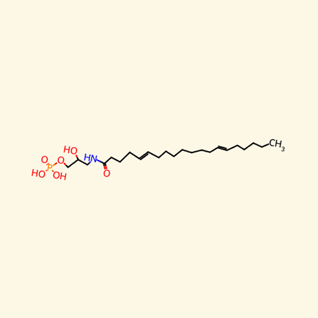 CCCCCC=CCCCCCCCC=CCCCC(=O)NCC(O)COP(=O)(O)O